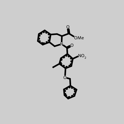 COC(=O)C1Cc2ccccc2CN1C(=O)c1cc(C)c(OCc2ccccc2)cc1[N+](=O)[O-]